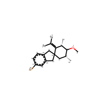 [2H]C([2H])=C1[C@H](C)C(OC)[C@H](C)CC12Cc1ccc(Br)cc1C2